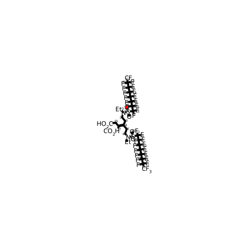 CCN(CCC(CCN(CC)S(=O)(=O)C(F)(F)C(F)(F)C(F)(F)C(F)(F)C(F)(F)C(F)(F)C(F)(F)C(F)(F)F)=C(CC(=O)O)C(=O)O)S(=O)(=O)C(F)(F)C(F)(F)C(F)(F)C(F)(F)C(F)(F)C(F)(F)C(F)(F)C(F)(F)F